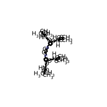 CC(C)(C)OC(=O)NCCOc1ccc(/C=C/C(=O)CC(=O)/C=C/c2ccc(OCCNC(=O)OC(C)(C)C)c(OCCNC(=O)OC(C)(C)C)c2)cc1OCCNC(=O)OC(C)(C)C